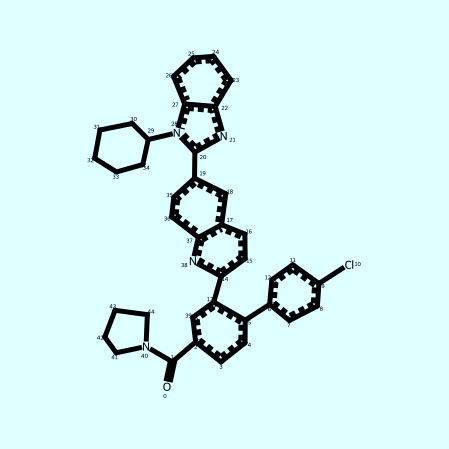 O=C(c1ccc(-c2ccc(Cl)cc2)c(-c2ccc3cc(-c4nc5ccccc5n4C4CCCCC4)ccc3n2)c1)N1CCCC1